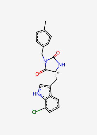 Cc1ccc(CN2C(=O)N[C@H](Cc3c[nH]c4c(Cl)cccc34)C2=O)cc1